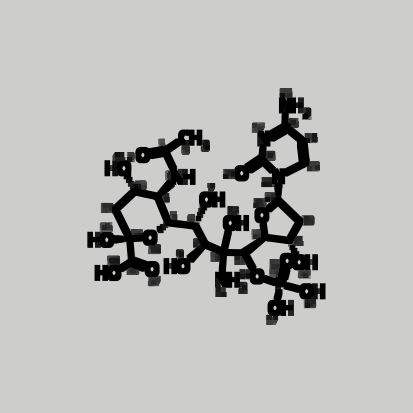 CC(=O)N[C@H]1[C@H]([C@H](O)[C@H](O)C(N)(O)C(OP(=O)(O)O)[C@H]2O[C@@H](n3ccc(N)nc3=O)C[C@@H]2O)O[C@](O)(C(=O)O)C[C@@H]1O